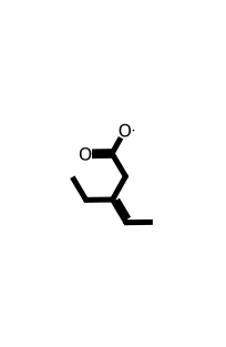 CC=C(CC)CC([O])=O